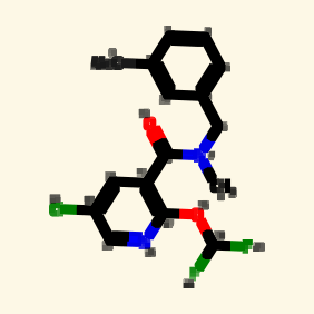 COc1cccc(CN(C)C(=O)c2cc(Cl)cnc2OC(F)F)c1